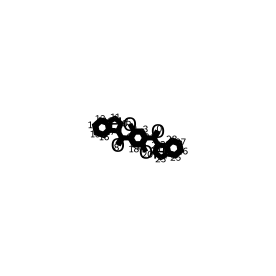 O=C(c1cc(O)c(C(=O)C2CCc3ccccc32)cc1O)C1CCc2ccccc21